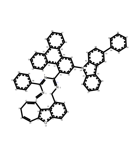 C=N/C(=N\C(=N/Cc1cccc2oc3c(c12)C=CCC=C3)c1cc(-n2c3ccccc3c3cc(-c4ccccc4)ccc32)cc2c3ccccc3c3ccccc3c12)c1ccccc1